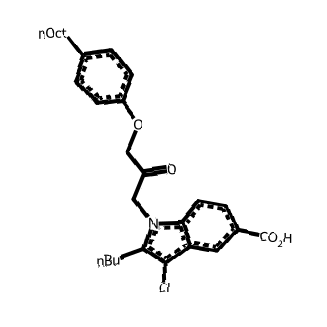 CCCCCCCCc1ccc(OCC(=O)Cn2c(CCCC)c(Cl)c3cc(C(=O)O)ccc32)cc1